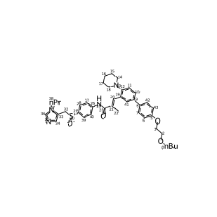 CCCCOCCOc1ccc(-c2ccc(N3CCCCC3)c(/C=C(\C)C(=O)Nc3ccc([S@@+]([O-])Cc4cncn4CCC)cc3)c2)cc1